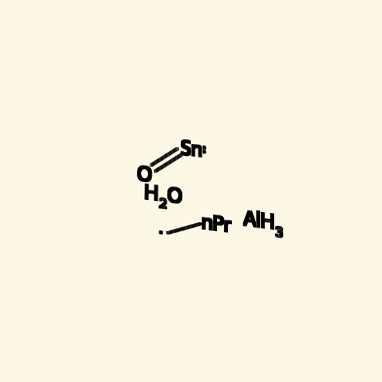 O.[AlH3].[CH2]CCC.[O]=[Sn]